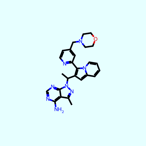 Cc1nn(C(C)c2cc3ccccn3c2-c2cc(CN3CCOCC3)ccn2)c2ncnc(N)c12